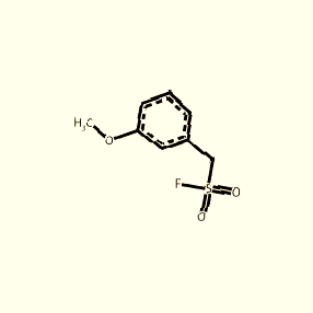 COc1cccc(CS(=O)(=O)F)c1